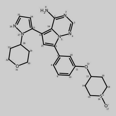 Nc1ncnn2c(-c3cccc(OC4CC[S+]([O-])CC4)c3)cc(-c3ccnn3C3CCOCC3)c12